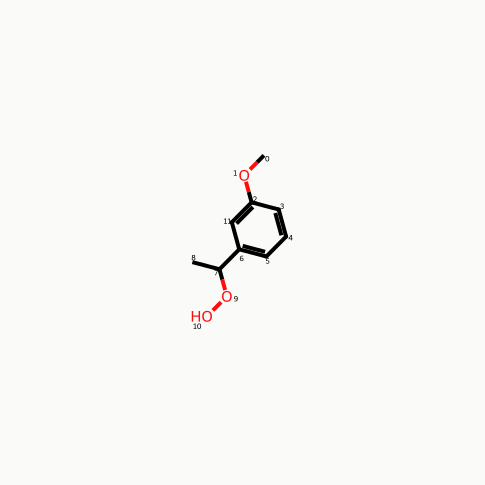 COc1cccc(C(C)OO)c1